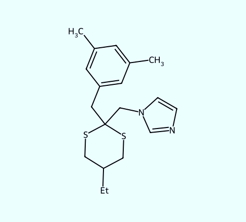 CCC1CSC(Cc2cc(C)cc(C)c2)(Cn2ccnc2)SC1